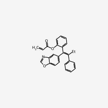 C=CC(=O)Oc1ccccc1/C(=C(\CC)c1ccccc1)c1ccc2ocnc2c1